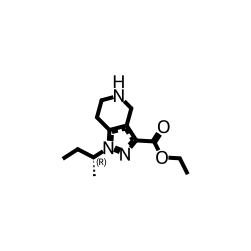 CCOC(=O)c1nn([C@H](C)CC)c2c1CNCC2